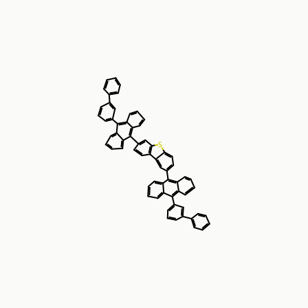 c1ccc(-c2cccc(-c3c4ccccc4c(-c4ccc5c(c4)sc4ccc(-c6c7ccccc7c(-c7cccc(-c8ccccc8)c7)c7ccccc67)cc45)c4ccccc34)c2)cc1